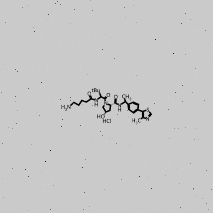 Cc1ncsc1-c1ccc(C(C)NC(=O)[C@@H]2C[C@@H](O)CN2C(=O)C(NC(=O)CCCCN)C(C)(C)C)cc1.Cl